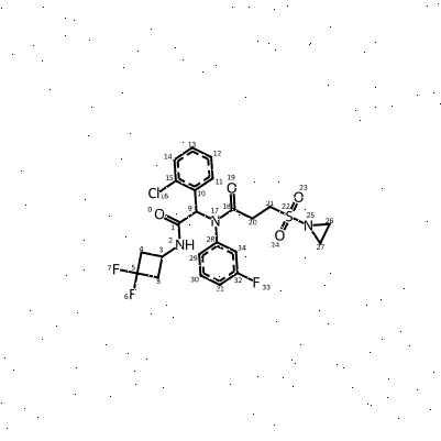 O=C(NC1CC(F)(F)C1)C(c1ccccc1Cl)N(C(=O)CCS(=O)(=O)N1CC1)c1cccc(F)c1